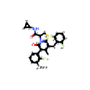 COc1cccc(-c2c(C)c(Cc3c(F)cccc3F)c3n(c2=O)C(C(=O)NC2CC2)CS3)c1F